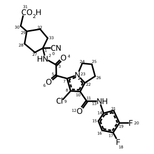 N#CC1(NC(=O)C(=O)c2c(Cl)c(C(=O)Nc3ccc(F)c(F)c3)c3n2CCC3)CCC(CC(=O)O)CC1